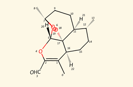 CC1=C(C=O)O[C@@H]2O[C@]3(C)CC[C@H]4[C@H](C)CC[C@@H]1[C@@]24OO3